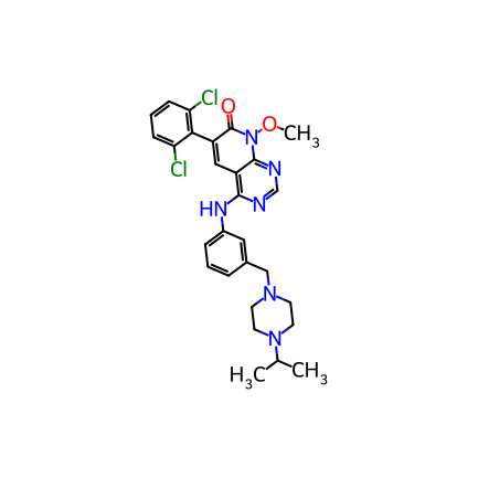 COn1c(=O)c(-c2c(Cl)cccc2Cl)cc2c(Nc3cccc(CN4CCN(C(C)C)CC4)c3)ncnc21